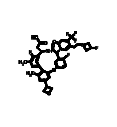 Cc1cc2cc(c1F)[C@@H](CC(=O)O)NC(=O)[C@@H](n1cc(CCN3CC(F)C3)c(C(F)(F)F)cc1=O)c1cc(ccc1F)Oc1cc(C3COC3)cc(C)c1-2